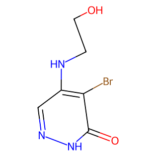 O=c1[nH]ncc(NCCO)c1Br